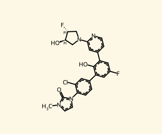 Cn1ccn(-c2ccc(-c3cc(F)cc(-c4ccnc(N5C[C@@H](O)[C@H](F)C5)c4)c3O)cc2Cl)c1=O